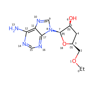 CCOC[C@@H]1C[C@H](O)[C@H](n2cnc3c(N)ncnc32)O1